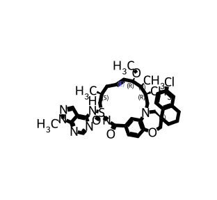 CO[C@H]1/C=C/C[C@H](C)CS(=O)(Nc2ncnc3c2cnn3C)=NC(=O)c2ccc3c(c2)N(C[C@H](C)[C@H]1C)C[C@@]1(CCCc2cc(Cl)ccc21)CO3